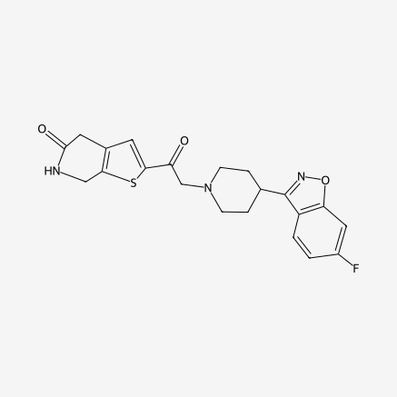 O=C1Cc2cc(C(=O)CN3CCC(c4noc5cc(F)ccc45)CC3)sc2CN1